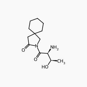 C[C@@H](O)[C@H](N)C(=O)N1CC2(CCCCC2)CC1=O